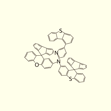 c1ccc2c(c1)Oc1ccc(N(c3ccc4c(c3)C3(c5ccccc5S4)c4ccccc4-c4ccccc43)c3ccc(-c4cccc5sc6ccccc6c45)cn3)cc1C21c2ccccc2-c2ccccc21